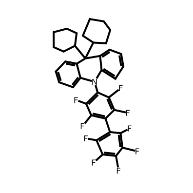 Fc1c(F)c(F)c(-c2c(F)c(F)c(N3c4ccccc4C(C4CCCCC4)(C4CCCCC4)c4ccccc43)c(F)c2F)c(F)c1F